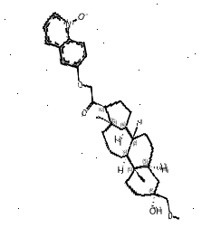 COC[C@@]1(O)CC[C@@]2(C)[C@@H](CC[C@@H]3[C@@H]2CC[C@]2(C)[C@@H](C(=O)COc4ccc5c(ccc[n+]5[O-])c4)CC[C@@H]32)C1